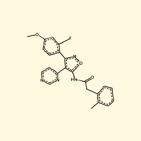 COc1ccc(-c2noc(NC(=O)Cc3ccccc3C)c2-c2ccncn2)c(F)c1